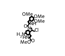 COC(=O)c1cc2c3c(cc(N)c2[nH]1)N(C(=O)c1cc2cc(OC)c(OC)c(OC)c2[nH]1)CC3CCl